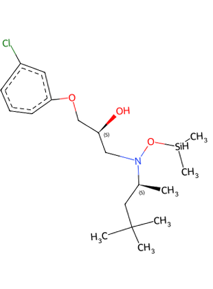 C[C@@H](CC(C)(C)C)N(C[C@H](O)COc1cccc(Cl)c1)O[SiH](C)C